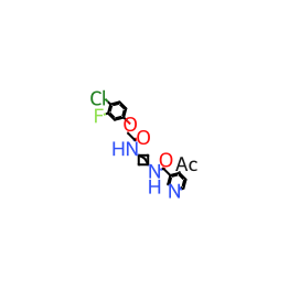 CC(=O)c1ccncc1C(=O)NC12CC(NC(=O)COc3ccc(Cl)c(F)c3)(C1)C2